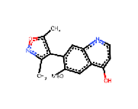 COc1cc2c(O)ccnc2cc1-c1c(C)noc1C